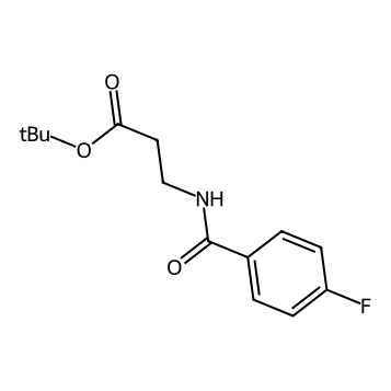 CC(C)(C)OC(=O)CCNC(=O)c1ccc(F)cc1